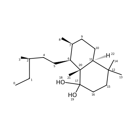 CC[C@@H](C)CC[C@H]1[C@@H](C)CC[C@H]2C(C)(C)CCC(O)(O)[C@]12C